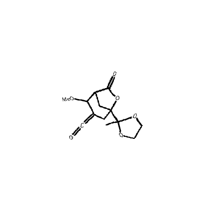 COC1C(=C=O)CC2(C3(C)OCCO3)CC1C(=O)O2